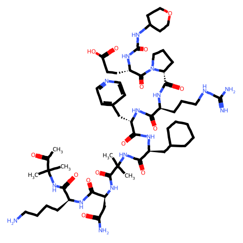 CC(=O)C(C)(C)NC(=O)[C@H](CCCCN)NC(=O)[C@H](CC(N)=O)NC(=O)C(C)(C)NC(=O)[C@H](CC1CCCCC1)NC(=O)[C@H](Cc1ccncc1)NC(=O)[C@H](CCCNC(=N)N)NC(=O)[C@H]1CCCN1C(=O)[C@H](CCC(=O)O)NC(=O)NC1CCOCC1